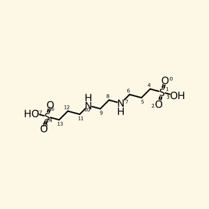 O=S(=O)(O)CCCNCCNCCCS(=O)(=O)O